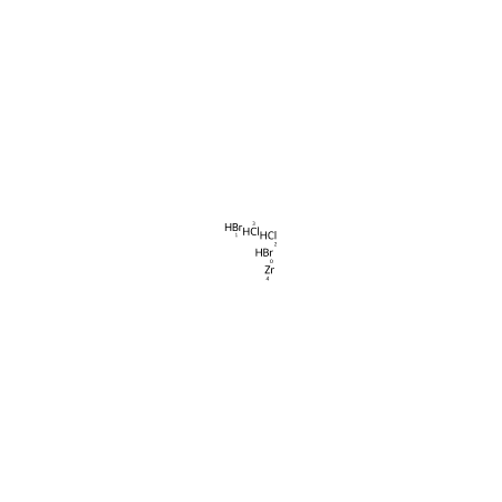 Br.Br.Cl.Cl.[Zr]